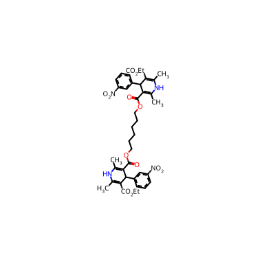 CCOC(=O)C1=C(C)NC(C)=C(C(=O)OCCCCCCOC(=O)C2=C(C)NC(C)=C(C(=O)OCC)C2c2cccc([N+](=O)[O-])c2)C1c1cccc([N+](=O)[O-])c1